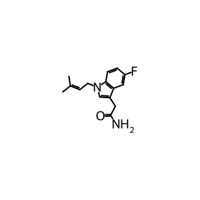 CC(C)=CCn1cc(CC(N)=O)c2cc(F)ccc21